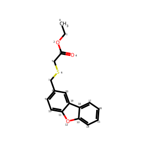 CCOC(=O)CSCc1ccc2oc3ccccc3c2c1